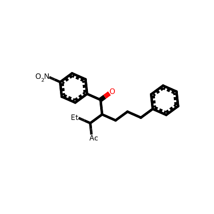 CCC(C(C)=O)C(CCCc1ccccc1)C(=O)c1ccc([N+](=O)[O-])cc1